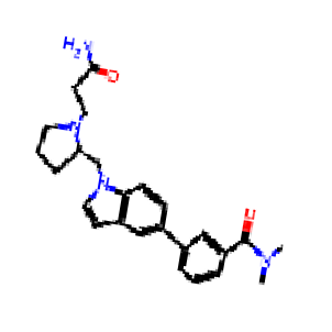 CN(C)C(=O)c1cccc(-c2ccc3c(ccn3C[C@H]3CCCN3CCC(N)=O)c2)c1